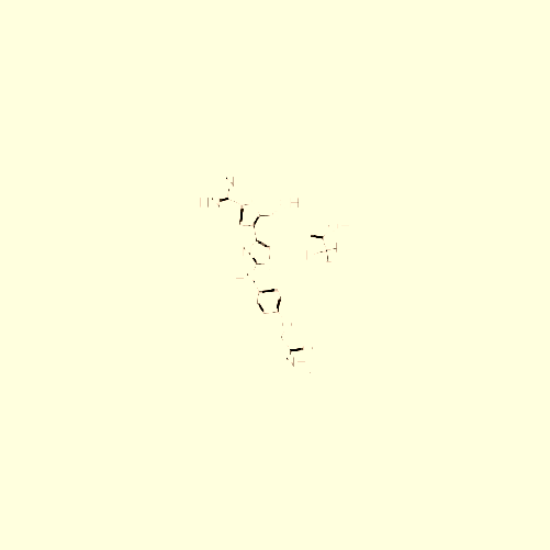 CSc1sc(C(=N)N)cc1-c1csc(Nc2ccc(OCC(N)=O)cc2)n1.O=C(O)C(F)(F)F